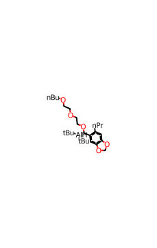 CCCCOCCOCCOCc1cc2c(cc1CCC)OCO2.C[C](C)(C)[AlH][C](C)(C)C